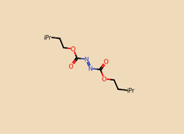 CC(C)CCOC(=O)/N=N/C(=O)OCCC(C)C